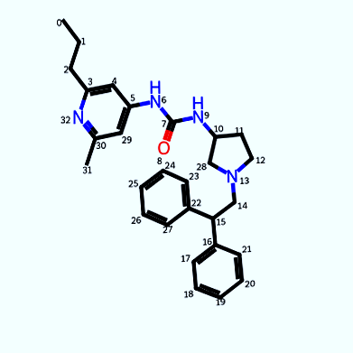 CCCc1cc(NC(=O)NC2CCN(CC(c3ccccc3)c3ccccc3)C2)cc(C)n1